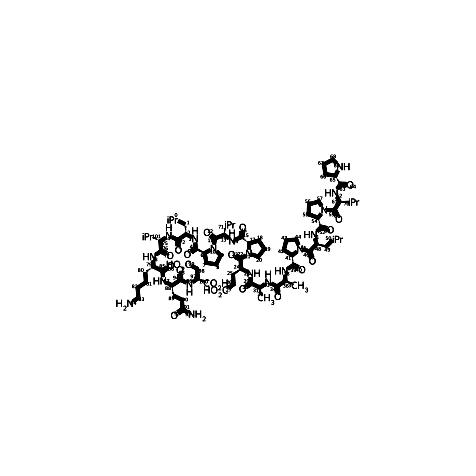 CC(C)C[C@H](NC(=O)[C@@H]1CCCN1C(=O)[C@@H](NC(=O)[C@@H]1CCCN1C(=O)[C@H](CCC(=O)O)NC(=O)[C@H](C)NC(=O)[C@H](C)NC(=O)[C@@H]1CCCN1C(=O)[C@H](CC(C)C)NC(=O)[C@@H]1CCCN1C(=O)[C@@H](NC(=O)[C@@H]1CCCN1)C(C)C)C(C)C)C(=O)N[C@H](C(=O)N[C@@H](CCCCN)C(=O)N[C@@H](CCC(N)=O)C(=O)N[C@@H](CC(=O)O)C(=O)O)C(C)C